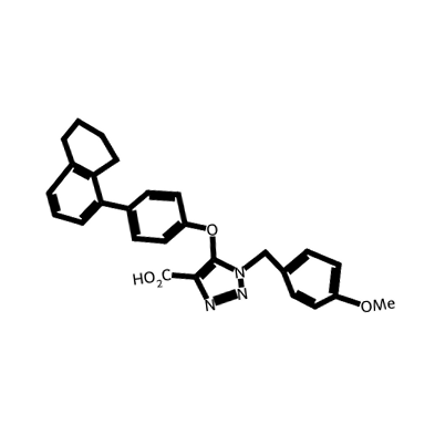 COc1ccc(Cn2nnc(C(=O)O)c2Oc2ccc(-c3cccc4c3CCCC4)cc2)cc1